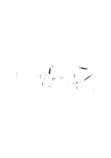 O=C(O)N1CCC(CCC2(C(=O)O)C=CC=CC2)C1=O